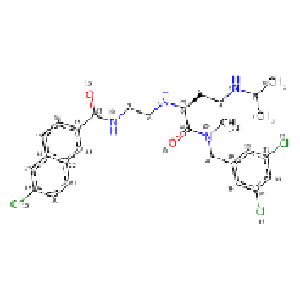 CC(C)NCC[C@H](NCCNC(=O)c1ccc2cc(Cl)ccc2c1)C(=O)N(C)Cc1cc(Cl)cc(Cl)c1